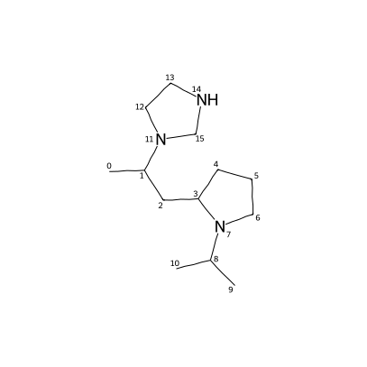 CC(CC1CCCN1C(C)C)N1CCNC1